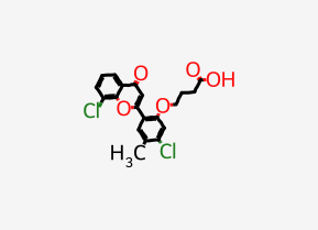 Cc1cc(-c2cc(=O)c3cccc(Cl)c3o2)c(OCCCC(=O)O)cc1Cl